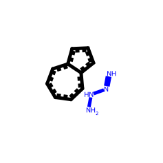 N=NNN.c1ccc2cccc-2cc1